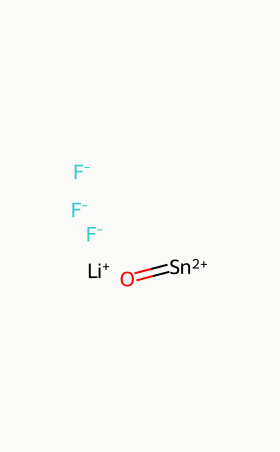 [F-].[F-].[F-].[Li+].[O]=[Sn+2]